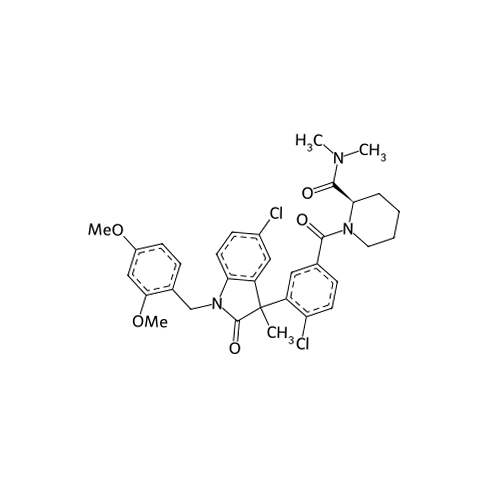 COc1ccc(CN2C(=O)C(C)(c3cc(C(=O)N4CCCC[C@@H]4C(=O)N(C)C)ccc3Cl)c3cc(Cl)ccc32)c(OC)c1